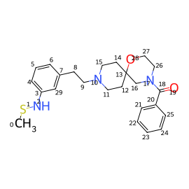 CSNc1cccc(CCN2CCC3(CC2)CN(C(=O)c2ccccc2)CCO3)c1